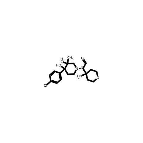 CC1(C)CN([C@H](C=O)C2(N)CCOCC2)CCC1(O)c1ccc(Cl)cc1